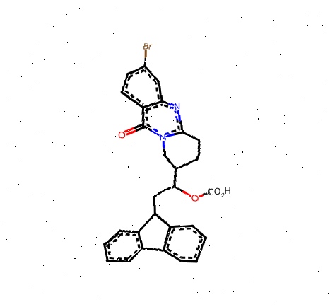 O=C(O)OC(CC1c2ccccc2-c2ccccc21)C1CCc2nc3cc(Br)ccc3c(=O)n2C1